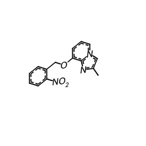 Cc1cn2cccc(OCc3ccccc3[N+](=O)[O-])c2n1